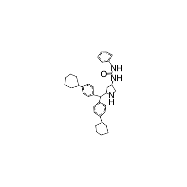 O=C(Nc1ccccc1)N[C@H]1CNC(C(c2ccc(C3CCCCC3)cc2)c2ccc(C3CCCCC3)cc2)C1